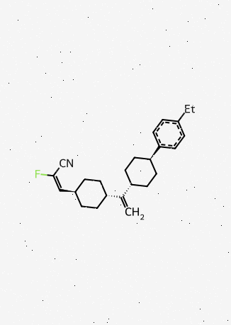 C=C([C@H]1CC[C@H](/C=C(/F)C#N)CC1)[C@H]1CC[C@H](c2ccc(CC)cc2)CC1